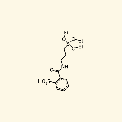 CCO[Si](CCCNC(=O)c1ccccc1S(=O)(=O)O)(OCC)OCC